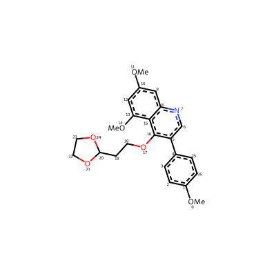 COc1ccc(-c2cnc3cc(OC)cc(OC)c3c2OCCC2OCCO2)cc1